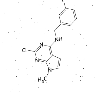 Cn1ccc2c(NCc3cccc(F)c3)nc(Cl)nc21